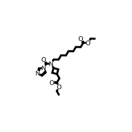 CCOC(=O)CCCCCCCCN(C(=O)n1ccnc1)C1CC(CC(=O)OCC)C1